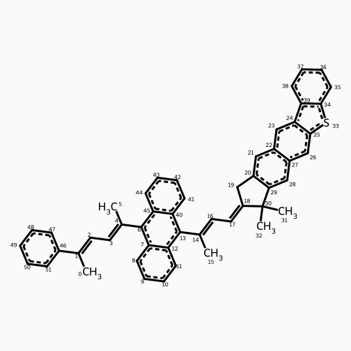 C/C(=C\C=C(/C)c1c2ccccc2c(/C(C)=C/C=C2\Cc3cc4cc5c(cc4cc3C2(C)C)sc2ccccc25)c2ccccc12)c1ccccc1